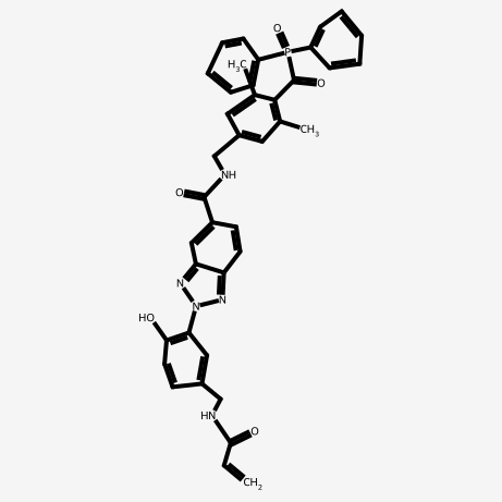 C=CC(=O)NCc1ccc(O)c(-n2nc3ccc(C(=O)NCc4cc(C)c(C(=O)P(=O)(c5ccccc5)c5ccccc5)c(C)c4)cc3n2)c1